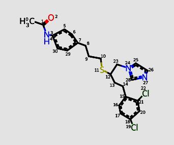 CC(=O)Nc1ccc(CCCSC(CCc2ccc(Cl)cc2Cl)Cn2ccnc2)cc1